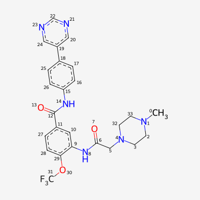 CN1CCN(CC(=O)Nc2cc(C(=O)Nc3ccc(-c4cncnc4)cc3)ccc2OC(F)(F)F)CC1